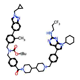 Cc1cc(CN(Cc2ccc(C(=O)N3CCC(C4CCN(Cc5ccc(-c6cn(C7CCCCC7)c7nc(NCCC(F)(F)F)ncc67)cc5)CC4)CC3)cc2)C(=O)OC(C)(C)C)ccc1-c1ccc2nn(CC3CC3)cc2c1